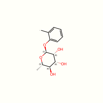 [CH2]c1ccccc1O[C@@H]1O[C@@H](C)[C@H](O)[C@@H](O)[C@H]1O